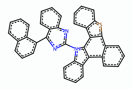 c1ccc2c(-c3nc(-n4c5ccccc5c5c6ccccc6c6sc7ccccc7c6c54)nc4ccccc34)cccc2c1